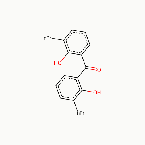 CCCc1cccc(C(=O)c2cccc(CCC)c2O)c1O